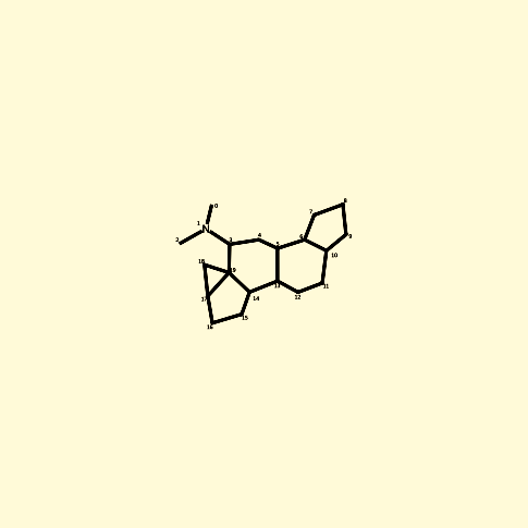 CN(C)C1CC2C3CCCC3CCC2C2CCC3CC321